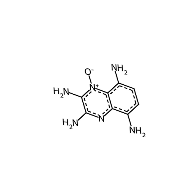 Nc1nc2c(N)ccc(N)c2[n+]([O-])c1N